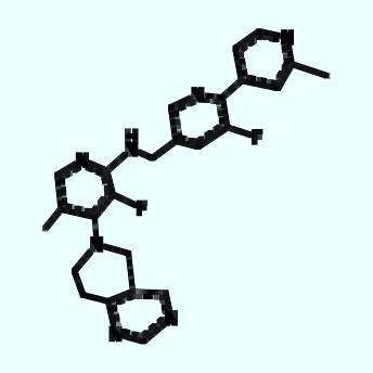 Cc1cc(-c2ncc(CNc3ncc(C)c(N4CCc5ncncc5C4)c3F)cc2F)ccn1